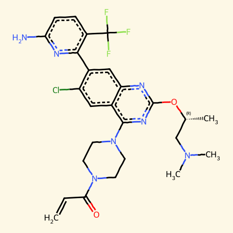 C=CC(=O)N1CCN(c2nc(O[C@H](C)CN(C)C)nc3cc(-c4nc(N)ccc4C(F)(F)F)c(Cl)cc23)CC1